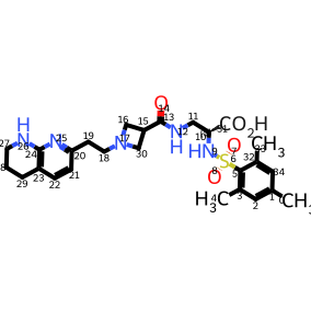 Cc1cc(C)c(S(=O)(=O)N[C@@H](CNC(=O)C2CN(CCc3ccc4c(n3)NCCC4)C2)C(=O)O)c(C)c1